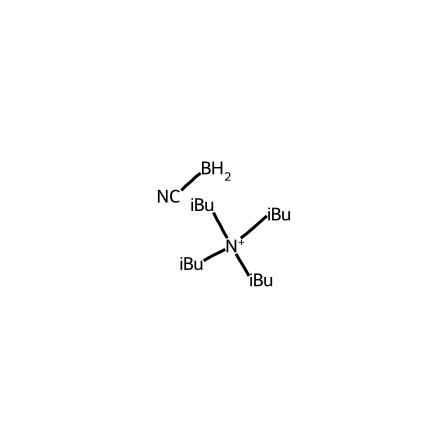 BC#N.CCC(C)[N+](C(C)CC)(C(C)CC)C(C)CC